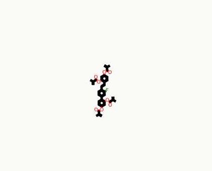 C=C(C)C(=O)Oc1ccc(/C=C/c2ccc(-c3ccc(OC(=O)C(=C)C)cc3OC(=O)C(=C)C)cc2F)c(OC(=O)C(=C)C)c1